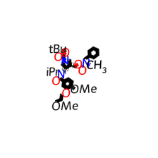 COCCCOc1cc(C(=O)N(C[C@@H]2CN(C(=O)OC(C)(C)C)C[C@H]2COC(=O)N(C)CC2CCCCC2)C(C)C)ccc1OC